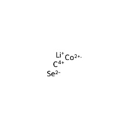 [C+4].[Co+2].[Li+].[Se-2]